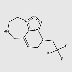 FC(F)(F)CC1CC=C2CNCCn3ccc1c32